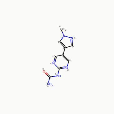 Cn1cc(-c2cnc(NC(N)=O)nc2)cn1